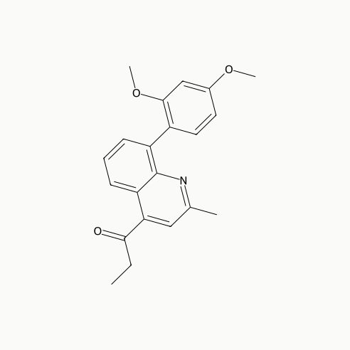 CCC(=O)c1cc(C)nc2c(-c3ccc(OC)cc3OC)cccc12